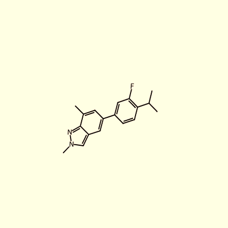 Cc1cc(-c2ccc(C(C)C)c(F)c2)cc2cn(C)nc12